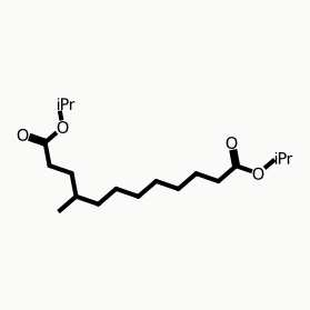 CC(CCCCCCCC(=O)OC(C)C)CCC(=O)OC(C)C